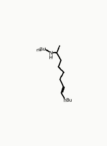 CCCCC=CCCCCC(C)NCCCC